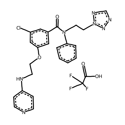 O=C(O)C(F)(F)F.O=C(c1cc(Cl)cc(OCCNc2ccncc2)c1)N(CCn1ncnn1)c1ccccc1